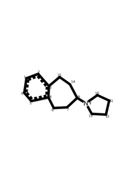 c1ccc2c(c1)CCC(N1CCCC1)CC2